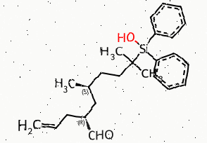 C=CC[C@H](C=O)C[C@@H](C)CCC(C)(C)[Si](O)(c1ccccc1)c1ccccc1